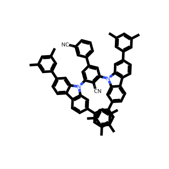 Cc1cc(C)cc(-c2ccc3c4ccc(-c5cc(C)cc(C)c5)cc4n(-c4cc(-c5cccc(C#N)c5)cc(-n5c6cc(-c7cc(C)cc(C)c7)ccc6c6ccc(-c7cc(C)cc(C)c7)cc65)c4C#N)c3c2)c1